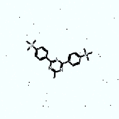 Cc1nc(-c2ccc([Si](C)(C)C)cc2)nc(-c2ccc([Si](C)(C)C)cc2)n1